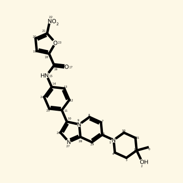 CC1(O)CCN(c2ccn3c(-c4ccc(NC(=O)c5ccc([N+](=O)[O-])o5)cc4)cnc3c2)CC1